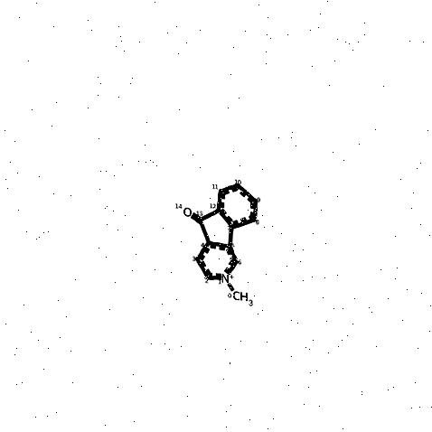 C[n+]1ccc2c(c1)-c1ccccc1C2=O